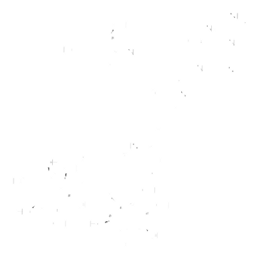 CC(C)(CO)[C@@H](O)C(=O)NCCC(=O)ON(Cc1cnc2[nH]c(N)nc(=O)c2n1)c1ccc(C(=O)N[C@@H](CCC(=O)O[C@]2(O)[C@H](O)[C@H](O)[C@@H](O)[C@H](O)[C@H]2O)C(=O)O[C@]2(O)[C@H](O)[C@H](O)[C@@H](O)[C@H](O)[C@H]2O)cc1